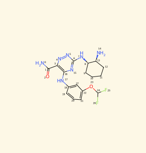 NC(=O)c1nnc(N[C@@H]2CCCC[C@@H]2N)nc1Nc1cccc(OC(F)F)c1